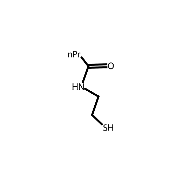 CCCC(=O)NCCS